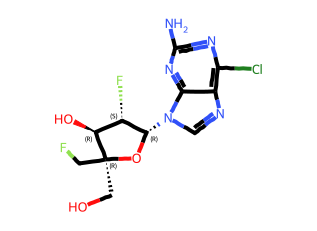 Nc1nc(Cl)c2ncn([C@@H]3O[C@@](CO)(CF)[C@@H](O)[C@@H]3F)c2n1